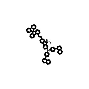 CCC1(CC)c2cc(/C=C/c3cccc4c3-c3ccccc3C4(C3=CC=CCC3)c3ccccc3)ccc2-c2ccc(N(c3ccc(-c4cccc5c4CCC=C5)cc3)c3ccc(-c4cccc5ccccc45)cc3)cc21